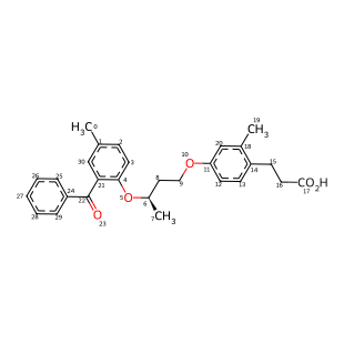 Cc1ccc(O[C@H](C)CCOc2ccc(CCC(=O)O)c(C)c2)c(C(=O)c2ccccc2)c1